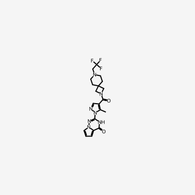 Cc1c(C(=O)N2CC3(CCN(CC(F)(F)F)CC3)C2)cnn1-c1nn2cccc2c(=O)[nH]1